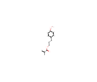 C=C(C)C(=O)OCCCc1ccc(OC)cc1